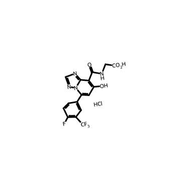 Cl.O=C(O)CNC(=O)c1c(O)cc(-c2ccc(F)c(C(F)(F)F)c2)n2ncnc12